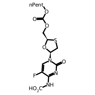 CCCCCOC(=O)OC[C@@H]1O[C@H](n2cc(F)c(NC(=O)O)nc2=O)CS1